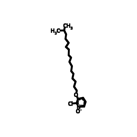 CC(C)CCCCCCCCCCCCCCCOc1ccc[n+]([O-])c1Cl